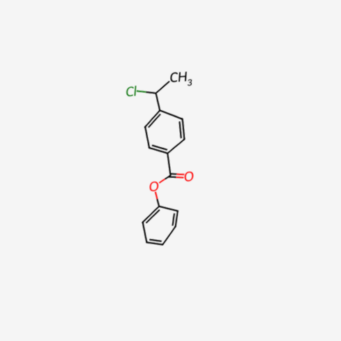 CC(Cl)c1ccc(C(=O)Oc2ccccc2)cc1